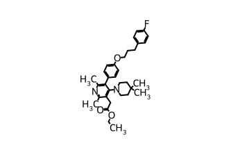 CCOC(=O)Cc1c(C)nc(C)c(-c2ccc(OCCCc3ccc(F)cc3)cc2)c1N1CCC(C)(C)CC1